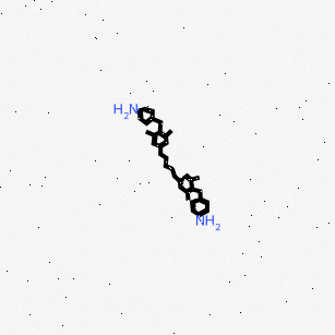 Cc1cc(CCCCCc2cc(C)c(Cc3ccc(N)cc3)c(C)c2)cc(C)c1Cc1ccc(N)cc1